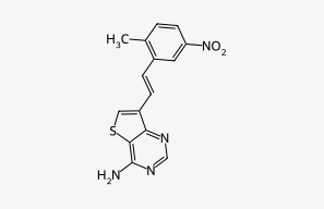 Cc1ccc([N+](=O)[O-])cc1C=Cc1csc2c(N)ncnc12